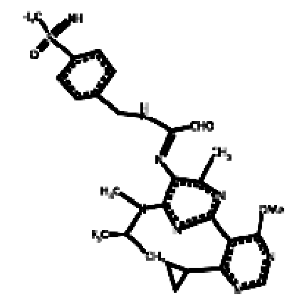 COc1ncnc(C2CC2)c1-c1nc(C)c(/N=C(\C=O)NCc2ccc(S(C)(=N)=O)cc2)c(N(C)[C@@H](C)C(F)(F)F)n1